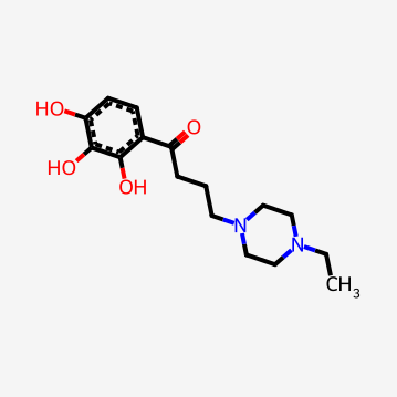 CCN1CCN(CCCC(=O)c2ccc(O)c(O)c2O)CC1